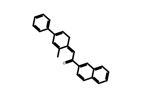 CC1=CC(c2ccccc2)=CCC1=CC(=O)c1ccc2ccccc2c1